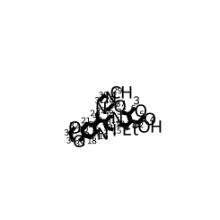 CC[C@@]1(O)C(=O)OCc2c1ccn(Cc1c(I)nc3cc4c(cc3c1CN1CCN(C)CC1)OCCO4)c2=O